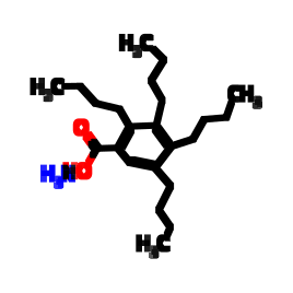 CCCCc1cc(C(=O)O)c(CCCC)c(CCCC)c1CCCC.N